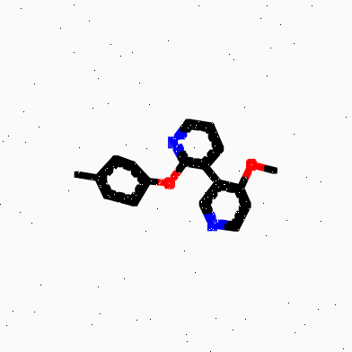 COc1ccncc1-c1cccnc1Oc1ccc(C)cc1